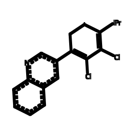 CC(C)C1=C(Cl)C(Cl)=C(c2cnc3ccccc3c2)C[CH]1